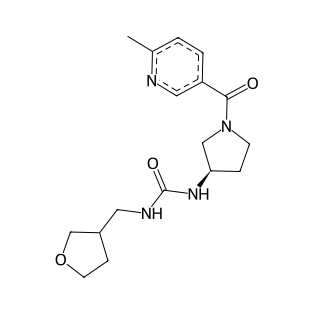 Cc1ccc(C(=O)N2CC[C@@H](NC(=O)NCC3CCOC3)C2)cn1